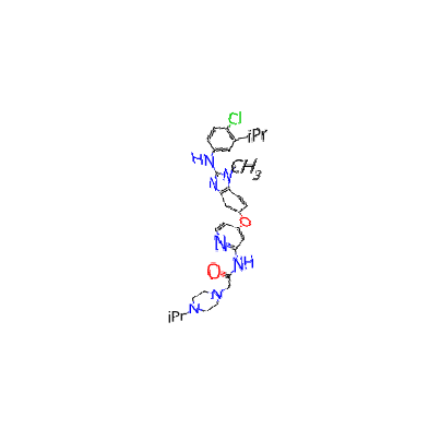 CC(C)c1cc(Nc2nc3cc(Oc4ccnc(NC(=O)CN5CCN(C(C)C)CC5)c4)ccc3n2C)ccc1Cl